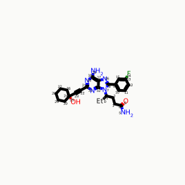 CCC(CCC(N)=O)n1c(-c2cccc(F)c2)nc2c(N)nc(C#CC3(O)CCCCC3)nc21